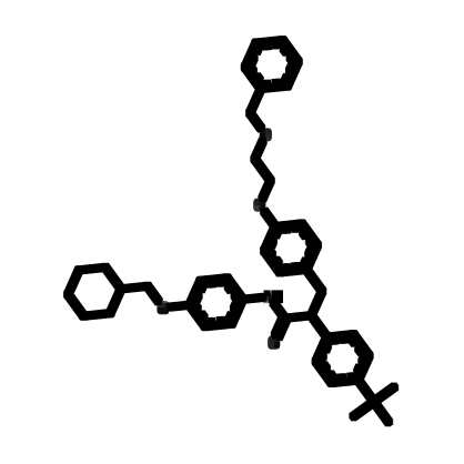 CC(C)(C)c1ccc(C(Cc2ccc(OCCOCc3ccccc3)cc2)C(=O)Nc2ccc(OCC3CCCCC3)cc2)cc1